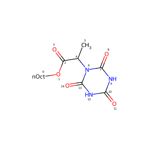 CCCCCCCCOC(=O)C(C)n1c(=O)[nH]c(=O)[nH]c1=O